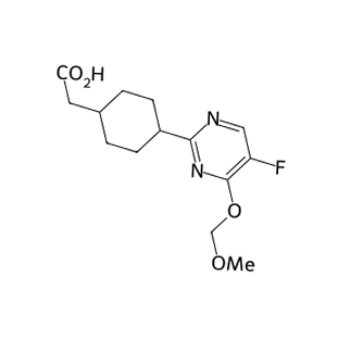 COCOc1nc(C2CCC(CC(=O)O)CC2)ncc1F